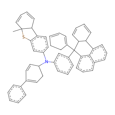 CC12C=CC=CC1c1ccc(N(c3cccc(C4(C5=CC=CCC5)c5cccc6cccc(c56)C5C=CC=CC54)c3)C3C=CC(c4ccccc4)=CC3)cc1S2